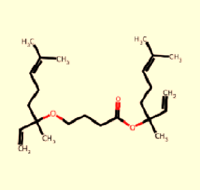 C=CC(C)(CCC=C(C)C)OCCCC(=O)OC(C)(C=C)CCC=C(C)C